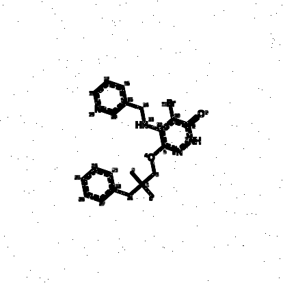 CC(C)(COc1n[nH]c(=O)c(Br)c1NCc1cccnc1)Cc1ccccc1